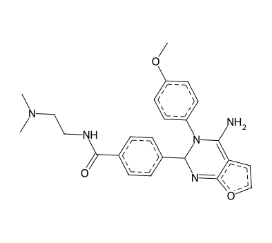 COc1ccc(N2C(N)=c3ccoc3=NC2c2ccc(C(=O)NCCN(C)C)cc2)cc1